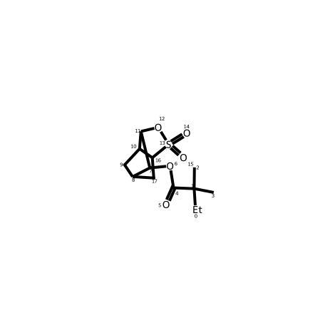 CCC(C)(C)C(=O)OC1C2CC3C1OS(=O)(=O)C3C2